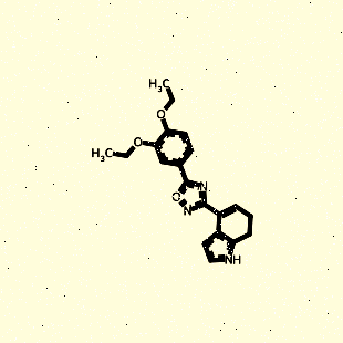 CCOc1ccc(-c2nc(C3=CCCc4[nH]ccc43)no2)cc1OCC